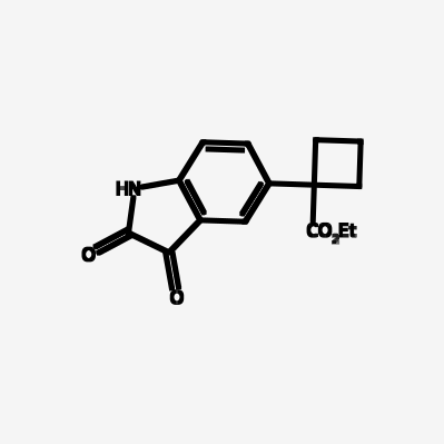 CCOC(=O)C1(c2ccc3c(c2)C(=O)C(=O)N3)CCC1